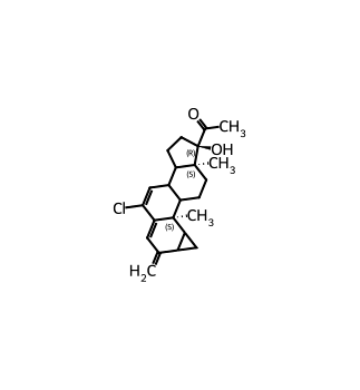 C=C1C=C2C(Cl)=CC3C(CC[C@@]4(C)C3CC[C@]4(O)C(C)=O)[C@@]2(C)C2CC12